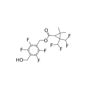 CC1(C)C(C(=O)OCc2c(F)c(F)c(CO)c(F)c2F)C1(C(F)F)C(F)F